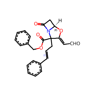 O=CC=C1O[C@@H]2CC(=O)N2C1(C/C=C/c1ccccc1)C(=O)OCc1ccccc1